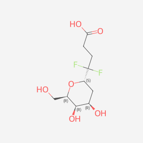 O=C(O)CCC(F)(F)[C@@H]1C[C@@H](O)[C@@H](O)[C@@H](CO)O1